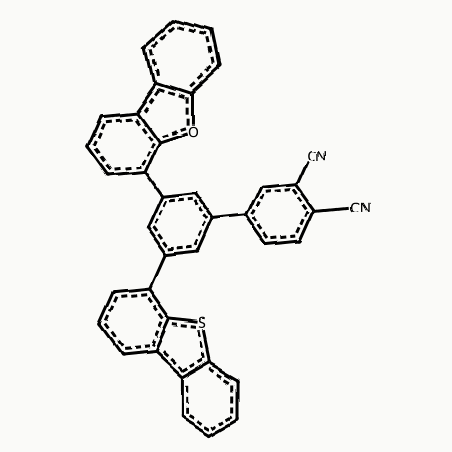 N#Cc1ccc(-c2cc(-c3cccc4c3oc3ccccc34)cc(-c3cccc4c3sc3ccccc34)c2)cc1C#N